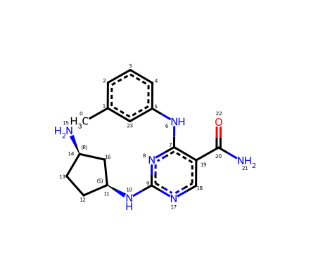 Cc1cccc(Nc2nc(N[C@H]3CC[C@@H](N)C3)ncc2C(N)=O)c1